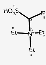 CC[N+](CC)(CC)C(C(C)C)S(=O)(=O)O